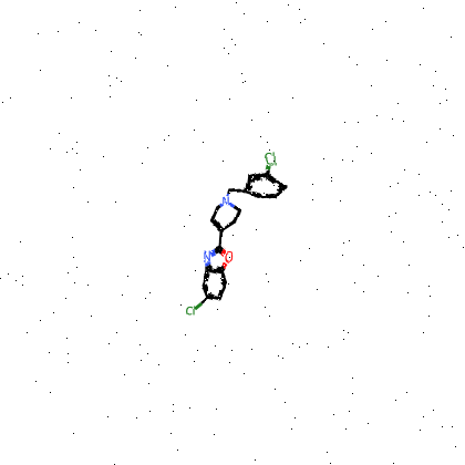 Clc1cccc(CN2CC=C(c3nc4cc(Cl)ccc4o3)CC2)c1